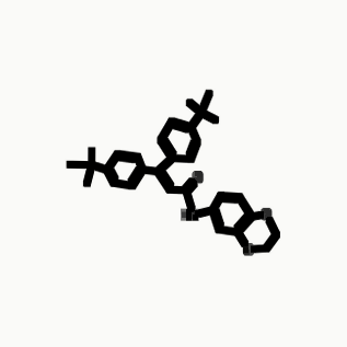 CC(C)(C)c1ccc(C(=CC(=O)Nc2ccc3c(c2)OCCO3)c2ccc(C(C)(C)C)cc2)cc1